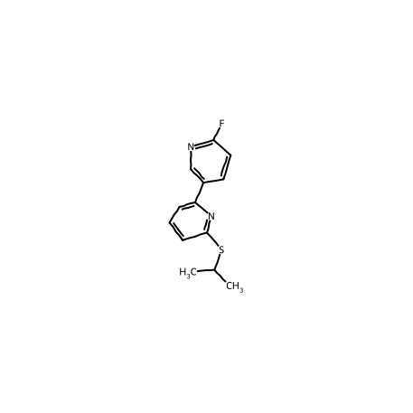 CC(C)Sc1cccc(-c2ccc(F)nc2)n1